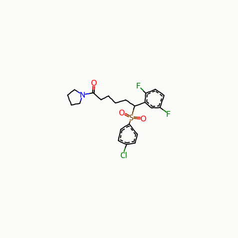 O=C(CCCCC(c1cc(F)ccc1F)S(=O)(=O)c1ccc(Cl)cc1)N1CCCC1